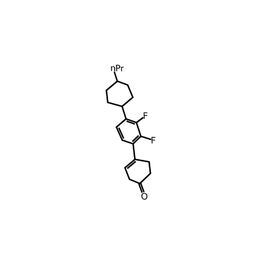 CCCC1CCC(c2ccc(C3=CCC(=O)CC3)c(F)c2F)CC1